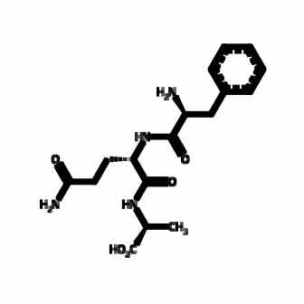 C[C@H](NC(=O)[C@H](CCC(N)=O)NC(=O)[C@@H](N)Cc1ccccc1)C(=O)O